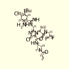 C=CC(=O)N1CC(NC(=O)c2c(Cl)nc(CNC(=N)c3cc(C(C)(C)C)c(Cl)cc3N)n2C2CCN(CC(F)F)[C@H]2C)C1